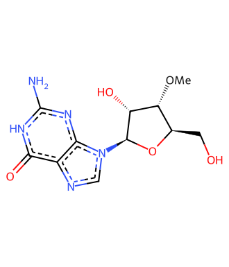 CO[C@H]1[C@@H](O)[C@H](n2cnc3c(=O)[nH]c(N)nc32)O[C@@H]1CO